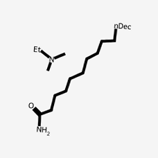 CCCCCCCCCCCCCCCCCCCC(N)=O.CCN(C)C